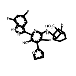 N#Cc1c(-c2n[nH]c3c(F)cc(F)cc23)nc(NC2C3CCC(CC3)[C@H]2C(=O)O)c(F)c1-c1ccco1